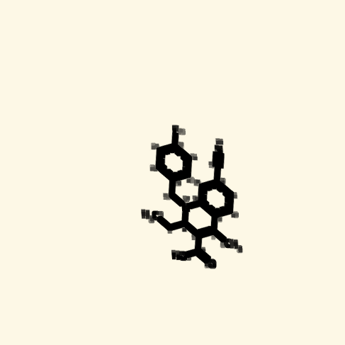 CCC1C(C(=O)O)=C(C)c2ccc(C#N)cc2N1Cc1ccc(F)cc1